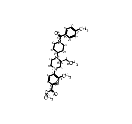 CC[C@H]1CN(c2ccc(C(=O)OC)nc2C)CCN1C1CCN(C(=O)c2ccc(C)cc2)CC1